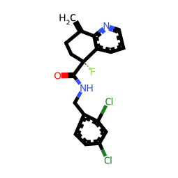 C=C1CC[C@](F)(C(=O)NCc2ccc(Cl)cc2Cl)c2cccnc21